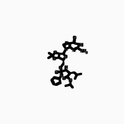 CC(C)C[C@H](NP(=O)(OC[C@H]1OC(n2cnc3c(=O)[nH]c(N)nc32)C2OC(C)(C)OC21)Oc1ccccc1)C(=O)OC(C)C